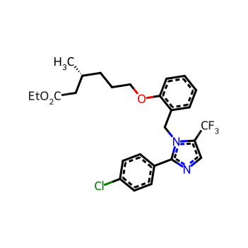 CCOC(=O)C[C@H](C)CCCOc1ccccc1Cn1c(C(F)(F)F)cnc1-c1ccc(Cl)cc1